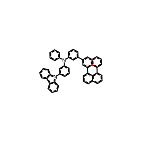 c1ccc(-c2cccc3cccc(-c4cccc(-c5cccc(N(c6ccccc6)c6cccc(-n7c8ccccc8c8ccccc87)c6)c5)c4)c23)cc1